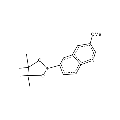 COc1cnc2ccc(B3OC(C)(C)C(C)(C)O3)cc2c1